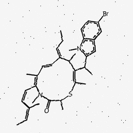 C\C=C(C)/C=C\C1=C(C)\C=C\C(=C\CC)C(C)/C(C(C)c2cc3cc(Br)ccc3n2C)=C(/C)SC(C)C(=O)N1C